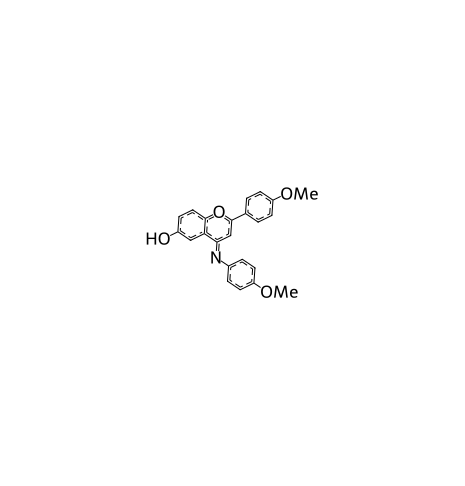 COc1ccc(N=c2cc(-c3ccc(OC)cc3)oc3ccc(O)cc23)cc1